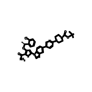 C[C@@H](Oc1cc(-n2cnc3cc(-c4ccc(N5CCN(C(=O)OC(C)(C)C)CC5)nc4)ccc32)sc1C(N)=O)c1ccccc1Cl